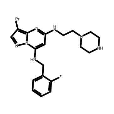 CC(C)c1cnn2c(NCc3ccccc3F)cc(NCCN3CCNCC3)nc12